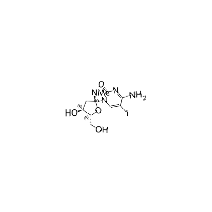 CN[C@]1(n2cc(I)c(N)nc2=O)C[C@H](O)[C@@H](CO)O1